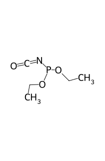 CCOP(N=C=O)OCC